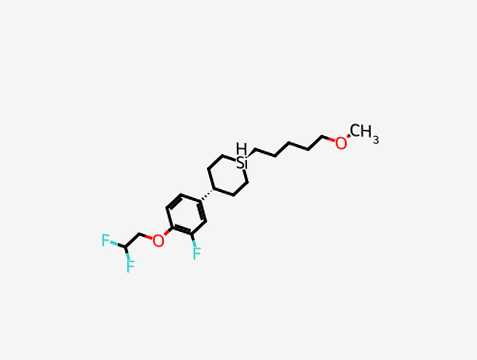 COCCCCC[Si@H]1CC[C@H](c2ccc(OCC(F)F)c(F)c2)CC1